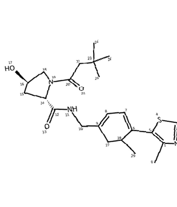 Cc1ncsc1C1=CC=C(CNC(=O)[C@@H]2C[C@@H](O)CN2C(=O)CC(C)(C)C)CC1C